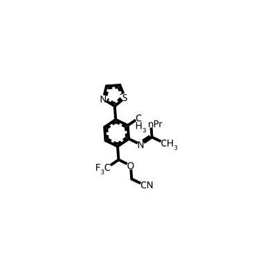 CCC/C(C)=N\c1c(C(OCC#N)C(F)(F)F)ccc(-c2nccs2)c1C